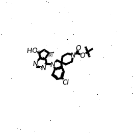 C[C@@H]1C[C@H](O)c2ncnc(N3CC4(CCN(C(=O)OC(C)(C)C)CC4)c4cc(Cl)ccc43)c21